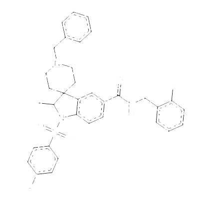 CC1N(S(=O)(=O)c2ccc(F)cc2)c2ccc(C(=O)NCc3ccccc3F)cc2C12CCN(Cc1ccccc1)CC2